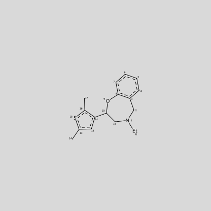 CCN1Cc2ccccc2OC(c2cc(C)sc2C)C1